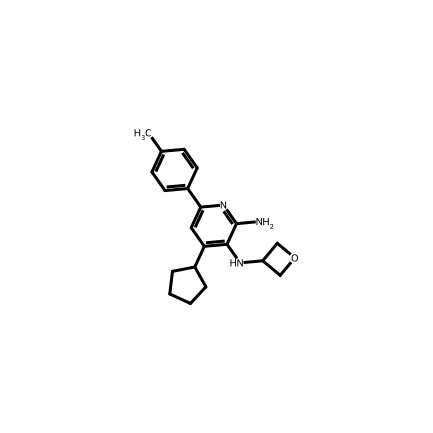 Cc1ccc(-c2cc(C3CCCC3)c(NC3COC3)c(N)n2)cc1